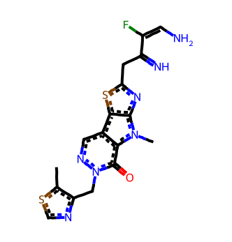 Cc1scnc1Cn1ncc2c3sc(CC(=N)/C(F)=C\N)nc3n(C)c2c1=O